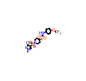 Cn1cc(S(=O)(=O)N2CCC(F)(OC(=O)Nc3ccc(OC(F)(F)F)cc3)CC2)c(C(F)(F)F)n1